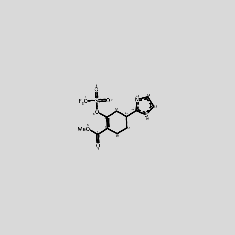 COC(=O)C1=C(OS(=O)(=O)C(F)(F)F)CC(c2nccs2)CC1